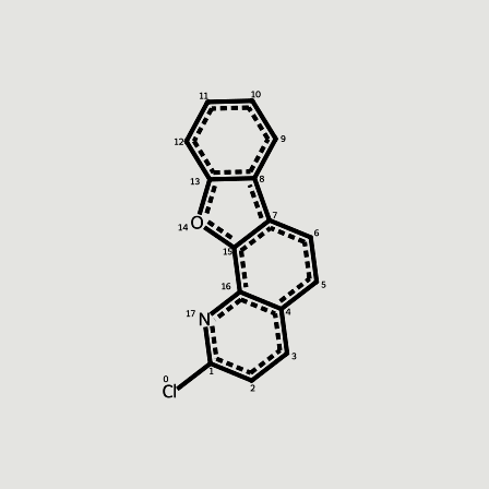 Clc1ccc2ccc3c4ccccc4oc3c2n1